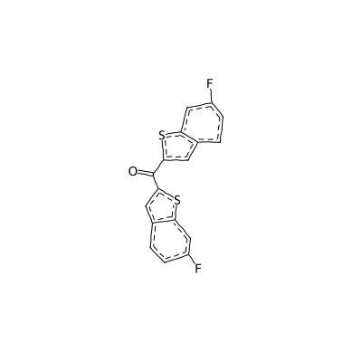 O=C(c1cc2ccc(F)cc2s1)c1cc2ccc(F)cc2s1